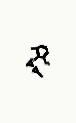 C1CO1.CC1CO1.Cc1cccc(N)c1N